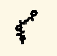 O=C(NCCOC(=O)c1ccccc1)c1cccc(NC(=O)c2ccc(Cl)s2)c1